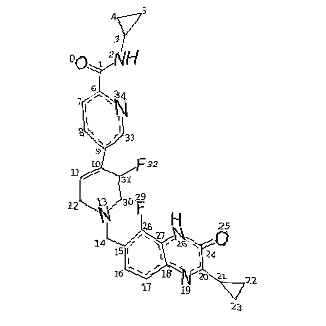 O=C(NC1CC1)c1ccc(C2=CCN(Cc3ccc4nc(C5CC5)c(=O)[nH]c4c3F)CC2F)cn1